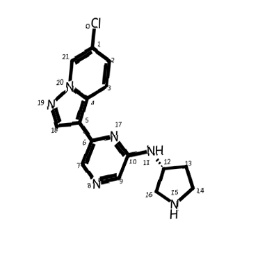 Clc1ccc2c(-c3cncc(N[C@@H]4CCNC4)n3)cnn2c1